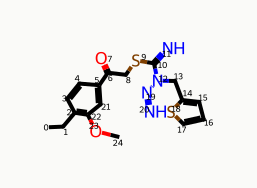 CCc1ccc(C(=O)CSC(=N)N(Cc2cccs2)N=N)cc1OC